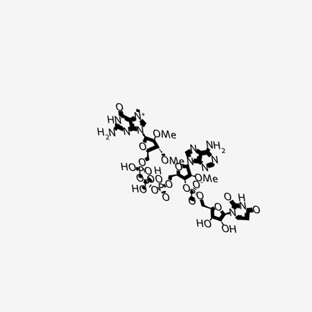 COC[C@H]1[C@@H](OC)[C@H](n2c[n+](C)c3c(=O)[nH]c(N)nc32)O[C@@H]1COP(=O)(O)OP(=O)(O)OP(=O)(O)OC[C@H]1O[C@@H](n2cnc3c(N)ncnc32)[C@H](OC)[C@@H]1OP(=O)([O-])OC[C@H]1O[C@@H](n2ccc(=O)[nH]c2=O)[C@H](O)[C@@H]1O